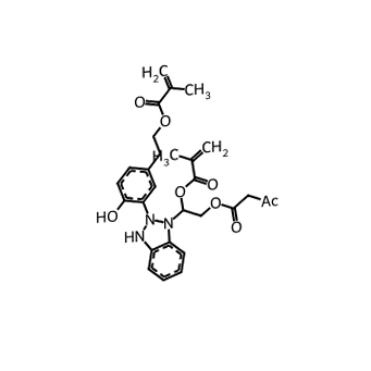 C=C(C)C(=O)OCCc1ccc(O)c(N2Nc3ccccc3N2C(COC(=O)CC(C)=O)OC(=O)C(=C)C)c1